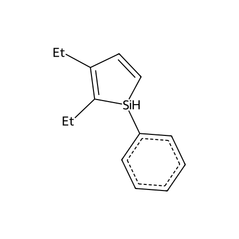 CCC1=C(CC)[SiH](c2ccccc2)C=C1